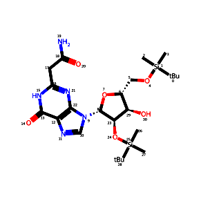 CC(C)(C)[Si](C)(C)OC[C@H]1O[C@@H](n2cnc3c(=O)[nH]c(CC(N)=O)nc32)[C@H](O[Si](C)(C)C(C)(C)C)[C@@H]1O